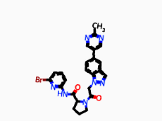 Cc1ncc(-c2ccc3c(cnn3CC(=O)N3CCCC3C(=O)Nc3cccc(Br)n3)c2)cn1